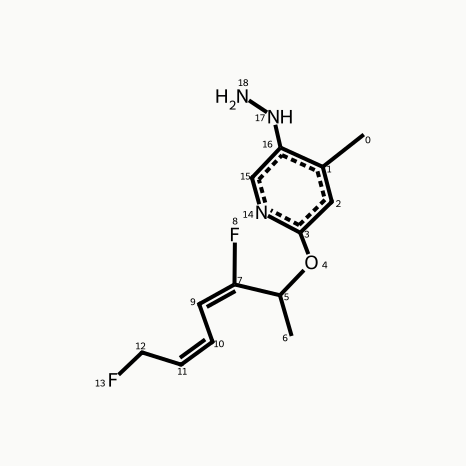 Cc1cc(OC(C)/C(F)=C\C=C/CF)ncc1NN